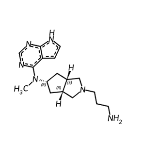 CN(c1ncnc2[nH]ccc12)[C@@H]1C[C@@H]2CN(CCCN)C[C@@H]2C1